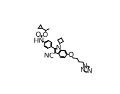 CC(OC(=O)Nc1ccc(-c2c(C#N)c3ccc(OCCCCn4cncn4)cc3n2C2CCC2)cc1)C1CC1